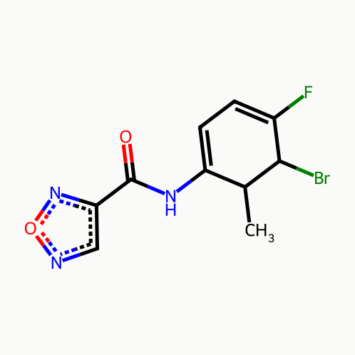 CC1C(NC(=O)c2cnon2)=CC=C(F)C1Br